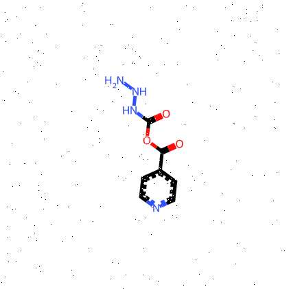 NNNC(=O)OC(=O)c1ccncc1